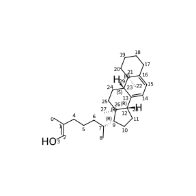 CC(=CO)CCCC(C)[C@H]1CC[C@H]2C3=CC=C4CCCC[C@]4(C)[C@H]3CC[C@]12C